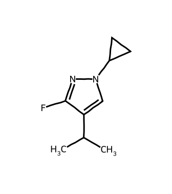 CC(C)c1cn(C2CC2)nc1F